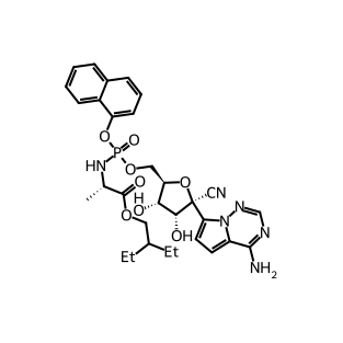 CCC(CC)COC(=O)[C@H](C)NP(=O)(OC[C@H]1O[C@@](C#N)(c2ccc3c(N)ncnn23)[C@H](O)[C@@H]1O)Oc1cccc2ccccc12